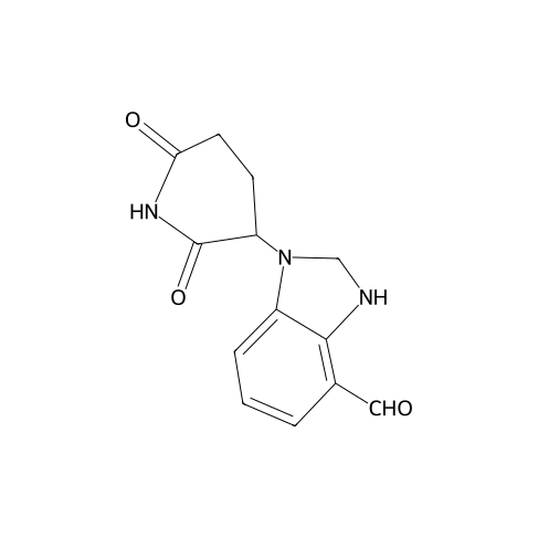 O=Cc1cccc2c1NCN2C1CCC(=O)NC1=O